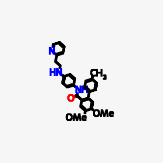 COc1cc(C(=O)Nc2ccc(NCCc3ccccn3)cc2)c(-c2ccc(C)cc2)cc1OC